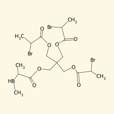 CBC(C)C(=O)OCC(COC(=O)C(C)Br)(COC(=O)C(C)Br)COC(=O)C(C)Br